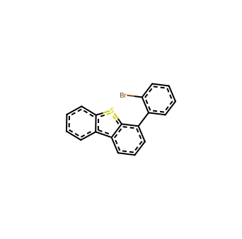 Brc1ccccc1-c1cccc2c1sc1ccccc12